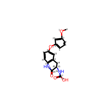 COc1cccc(Oc2ccc3c(c2)C[C@@H](NC(=O)O)C(=O)N3)c1